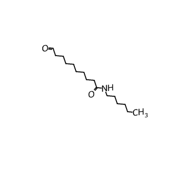 CCCCCCNC(=O)CCCCCCCCC=O